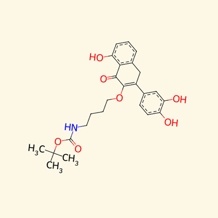 CC(C)(C)OC(=O)NCCCCOC1=C(c2ccc(O)c(O)c2)Cc2cccc(O)c2C1=O